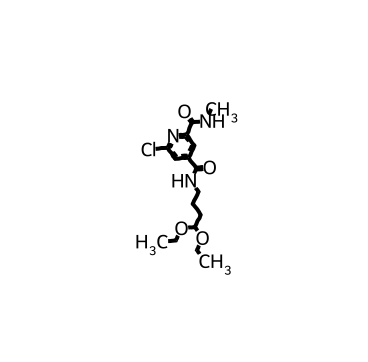 CCOC(CCCNC(=O)c1cc(Cl)nc(C(=O)NC)c1)OCC